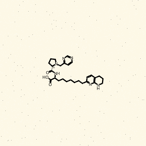 O=C(O)C(CCCCCCCc1ccc2c(n1)NCCC2)NC(=O)[C@@H]1CCCN1Cc1ccncn1